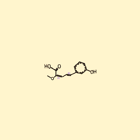 CO/C(=C/C=C/c1cccc(O)c1)C(=O)O